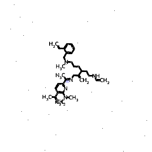 C=CNCCC(CCCN(C)Cc1ccccc1C=C)C(=C)C/N=C(\C)c1ccc(C(=C)C)c(N(C)C)n1